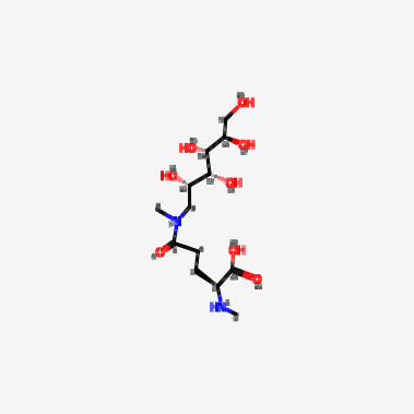 CN[C@@H](CCC(=O)N(C)C[C@H](O)[C@@H](O)[C@H](O)[C@H](O)CO)C(=O)O